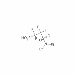 CCN(CC)S(=O)(=O)C(F)(F)C(F)(F)S(=O)(=O)O